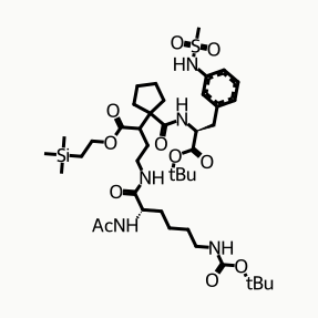 CC(=O)N[C@@H](CCCCNC(=O)OC(C)(C)C)C(=O)NCCC(C(=O)OCC[Si](C)(C)C)C1(C(=O)N[C@@H](Cc2cccc(NS(C)(=O)=O)c2)C(=O)OC(C)(C)C)CCCC1